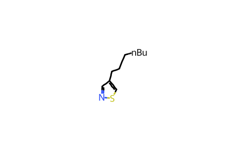 CCCCCCCc1cnsc1